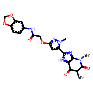 CCCC1C(=O)c2[nH]c(-c3cc(OCC(=O)Nc4ccc5c(c4)OCO5)nn3C)nc2N(CCC)C1=O